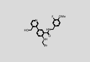 COc1ccc(CNC(=O)c2cc(-c3cnccc3CO)ccc2NCC(C)C)cc1F